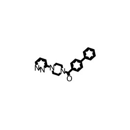 O=C(c1ccc(-c2ccccc2)cc1)N1CCN(c2cccnn2)CC1